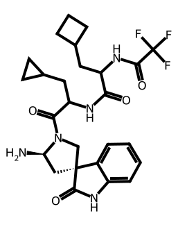 N[C@@H]1C[C@@]2(CN1C(=O)C(CC1CC1)NC(=O)C(CC1CCC1)NC(=O)C(F)(F)F)C(=O)Nc1ccccc12